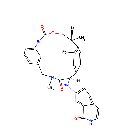 CCc1cc2ccc1[C@@H](C)COC(=O)Nc1cccc(c1)CN(C)C(=O)[C@@H]2Nc1ccc2cc[nH]c(=O)c2c1